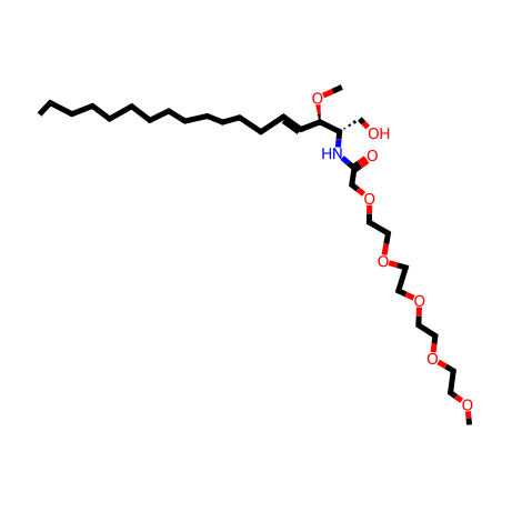 CCCCCCCCCCCCC/C=C/[C@@H](OC)[C@H](CO)NC(=O)COCCOCCOCCOCCOC